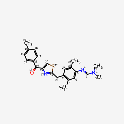 CCN(C)/C=N/c1cc(C)c(Cc2nc(C(=O)c3ccc(C(F)(F)F)cc3)cs2)cc1C